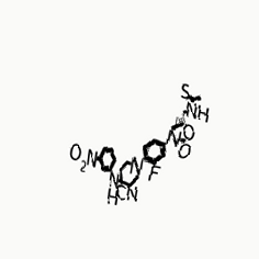 CC(=S)NC[C@H]1CN(c2ccc(N3CCC(C#N)(Nc4cccc([N+](=O)[O-])c4)CC3)c(F)c2)C(=O)O1